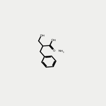 N.O=C(O)C(CO)Cc1ccccc1